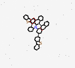 c1cc(-c2ccc3c(c2)sc2ccccc23)cc(N(c2ccccc2-c2cccc3c2sc2ccccc23)c2c(-c3cccc4ccccc34)c3ccccc3c3ccccc23)c1